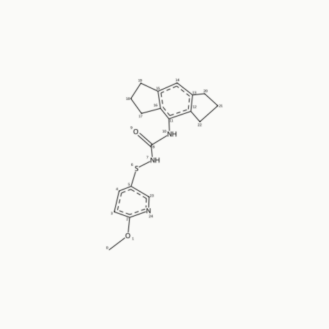 COc1ccc(SNC(=O)Nc2c3c(cc4c2CCC4)CCC3)cn1